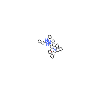 c1ccc(-c2nc(-c3ccc4ccccc4c3)nc(-c3cc(-c4ccccc4)c(-n4c5cc6ccccc6cc5c5cc6ccccc6cc54)c(-c4ccccc4)c3-c3ccccc3)n2)cc1